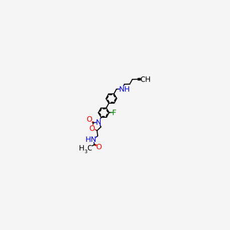 C#CCCCNCc1ccc(-c2ccc(N3CC(CNC(C)=O)OC3=O)cc2F)cc1